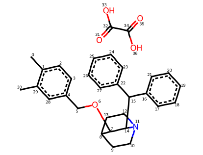 Cc1ccc(COC2C3CCN(CC3)C2C(c2ccccc2)c2ccccc2)cc1C.O=C(O)C(=O)O